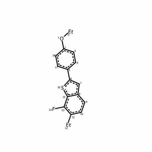 CCOc1ccc(-c2cc3ccc(CC)c(F)c3s2)cc1